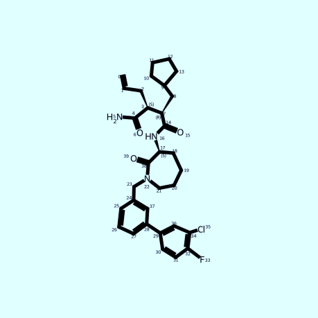 C=CC[C@H](C(N)=O)[C@@H](CC1CCCC1)C(=O)N[C@H]1CCCCN(Cc2cccc(-c3ccc(F)c(Cl)c3)c2)C1=O